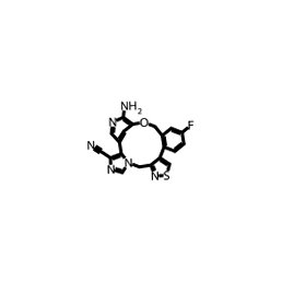 N#Cc1ncn2c1-c1cnc(N)c(c1)OCc1cc(F)ccc1-c1csnc1C2